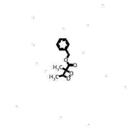 CC1OOC1(C)C(=O)OCc1ccccc1